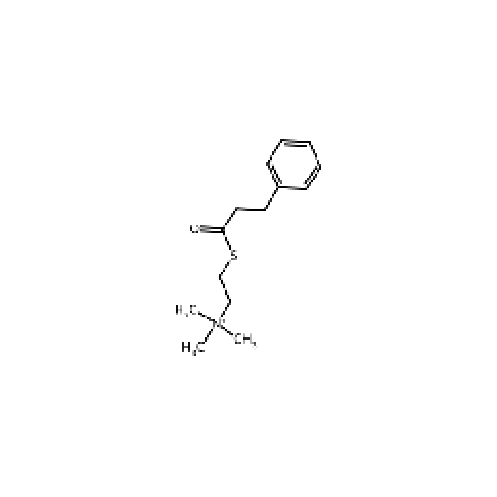 C[N+](C)(C)CCSC(=O)CCc1ccccc1